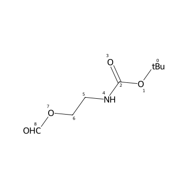 CC(C)(C)OC(=O)NCCOC=O